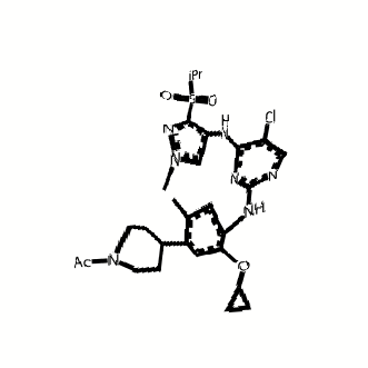 CC(=O)N1CCC(c2cc(OC3CC3)c(Nc3ncc(Cl)c(Nc4cn(C)nc4S(=O)(=O)C(C)C)n3)cc2C)CC1